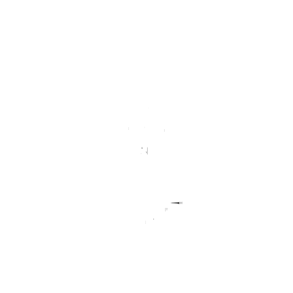 C[C@@H](Cl)c1cn(S(=O)(=O)c2ccccc2)c2ccccc12